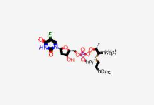 CCCCCCCCCCCCSC(CCCCCCC)[C@@H](C)OOP(=O)(OCCC)OC[C@H]1O[C@@H](n2cc(F)c(=O)[nH]c2=O)C[C@@H]1O